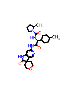 CC1CCC([C@H](NC(=O)N2CCC[C@H]2C)C(=O)Nc2cc3c(cn2)C2(CCOCC2)C(=O)N3)CC1